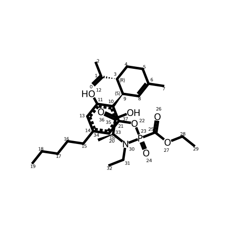 C=C(C)[C@@H]1CCC(C)=C[C@H]1c1c(O)cc(CCCCC)cc1OP(=O)(C(=O)OCC)N(CC)[C@@H](C)C(=O)O